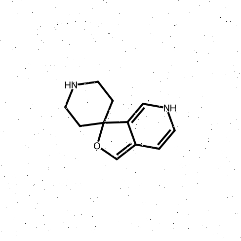 C1=CC2=COC3(CCNCC3)C2=CN1